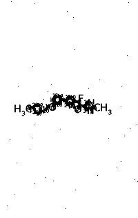 Cc1ncc(C(=O)C(F)c2ccc(-c3cccc(OCCN4CCN(C)CC4)c3)cn2)cn1